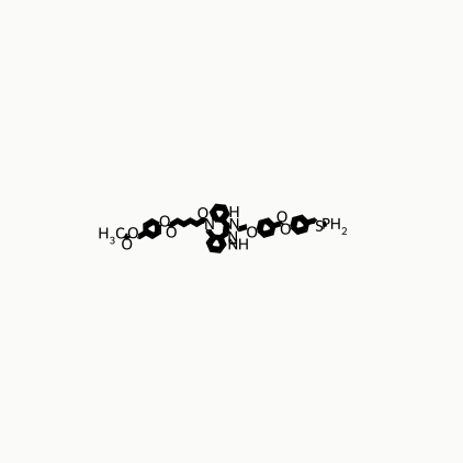 CC(=O)OCc1ccc(OC(=O)CCCCC(=O)N2Cc3ccccc3/C(N=N)=C(/NCCOc3ccc(C(=O)Oc4ccc(CSP)cc4)cc3)c3ccccc32)cc1